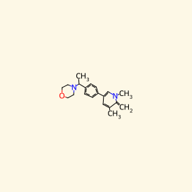 C=C1C(C)=CC(c2ccc(C(C)N3CCOCC3)cc2)=CN1C